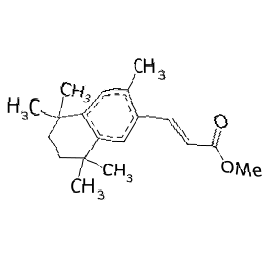 COC(=O)C=Cc1cc2c(cc1C)C(C)(C)CCC2(C)C